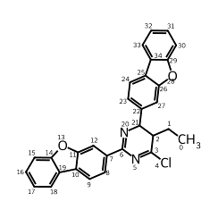 CCC1C(Cl)=NC(c2ccc3c(c2)oc2ccccc23)=NC1c1ccc2c(c1)oc1ccccc12